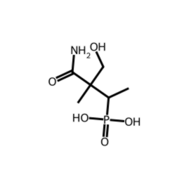 CC(C(C)(CO)C(N)=O)P(=O)(O)O